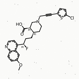 COc1ccc2nccc([C@H](F)CC[C@@H]3CCN(CC#Cc4ccc(Cl)s4)C[C@@H]3C(=O)O)c2c1